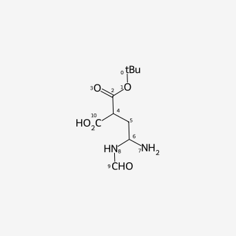 CC(C)(C)OC(=O)C(CC(N)NC=O)C(=O)O